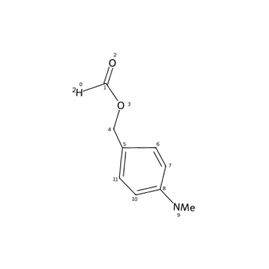 [2H]C(=O)OCc1ccc(NC)cc1